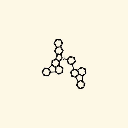 c1cc(-c2ccc3c4c(cccc24)-c2ccccc2-3)cc(-n2c3cc4ccccc4cc3c3cc4c5c(cccc5c32)-c2ccccc2-4)c1